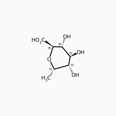 C[C@@H]1O[C@@H](C(=O)O)[C@H](O)[C@@H](O)[C@@H]1O